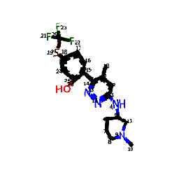 Cc1cc(NC2CCCN(C)C2)nnc1-c1ccc(SC(F)(F)F)cc1O